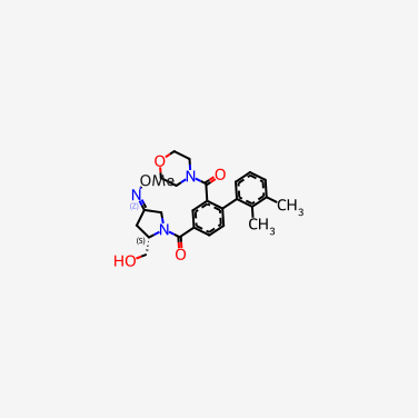 CO/N=C1/C[C@@H](CO)N(C(=O)c2ccc(-c3cccc(C)c3C)c(C(=O)N3CCOCC3)c2)C1